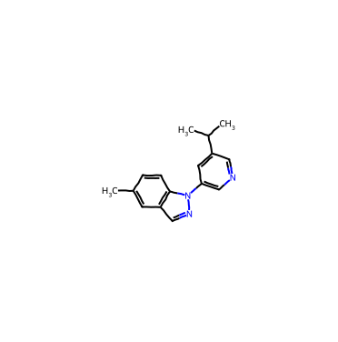 Cc1ccc2c(cnn2-c2cncc(C(C)C)c2)c1